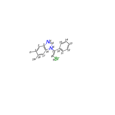 Cc1cc2ncn(C(=CBr)c3ccccc3)c2cc1C